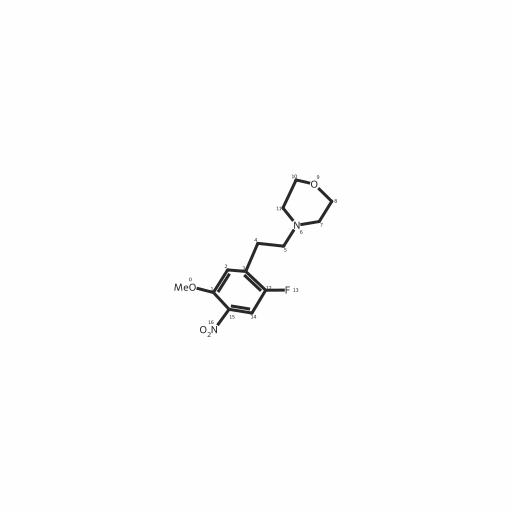 COc1cc(CCN2CCOCC2)c(F)cc1[N+](=O)[O-]